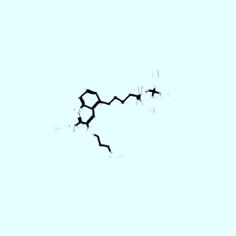 CCCCOc1cc2c(CCCCC(=O)NC(C)(C)C)cccc2nc1N